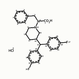 Cl.O=C(O)N(Cc1ccccc1)N1CCCC(C(c2ccc(F)cc2)c2ccc(F)cc2)C1